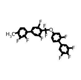 Cc1ccc(-c2cc(F)c(C(F)(F)Oc3ccc(-c4cc(F)c(F)c(F)c4)c(F)c3)c(F)c2)c(F)c1F